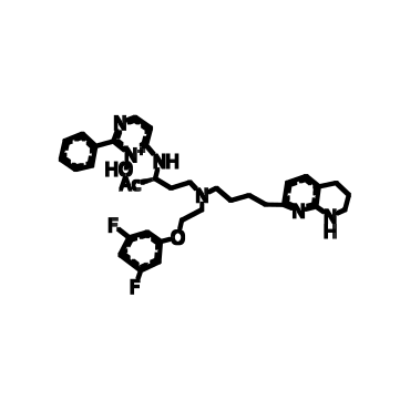 CC(=O)[C@H](CCN(CCCCc1ccc2c(n1)NCCC2)CCOc1cc(F)cc(F)c1)Nc1ccnc(-c2ccccc2)[n+]1O